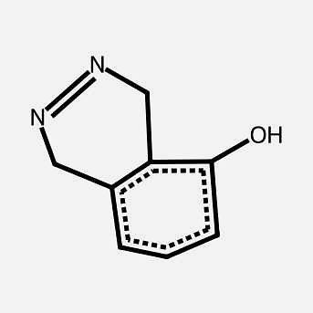 Oc1cccc2c1CN=NC2